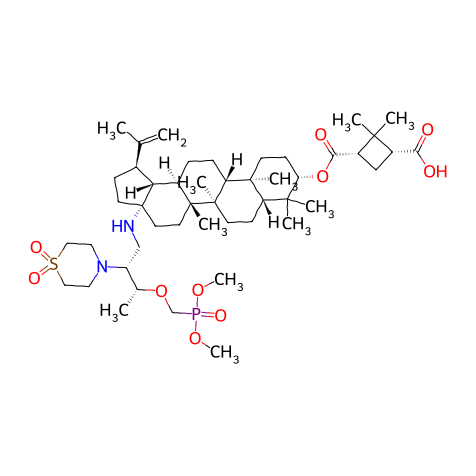 C=C(C)[C@@H]1CC[C@]2(NC[C@H]([C@@H](C)OCP(=O)(OC)OC)N3CCS(=O)(=O)CC3)CC[C@]3(C)[C@H](CC[C@@H]4[C@@]5(C)CC[C@H](OC(=O)[C@H]6C[C@@H](C(=O)O)C6(C)C)C(C)(C)[C@@H]5CC[C@]43C)[C@@H]12